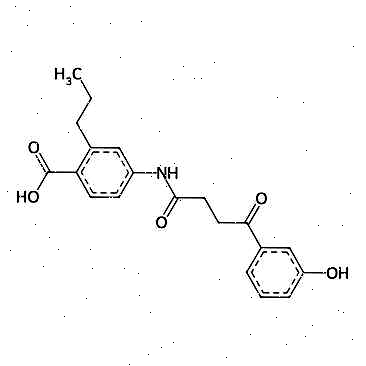 CCCc1cc(NC(=O)CCC(=O)c2cccc(O)c2)ccc1C(=O)O